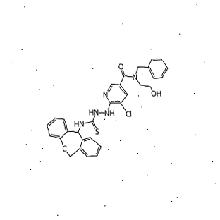 O=C(c1cnc(NNC(=S)NC2c3ccccc3CCc3ccccc32)c(Cl)c1)N(CCO)Cc1ccccc1